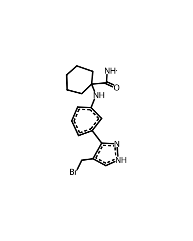 [NH]C(=O)C1(Nc2cccc(-c3n[nH]cc3CBr)c2)CCCCC1